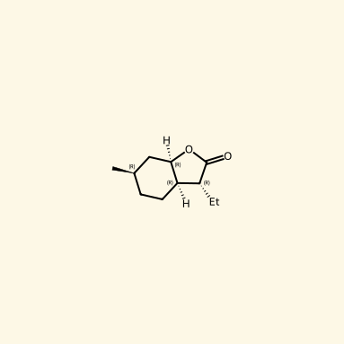 CC[C@H]1C(=O)O[C@@H]2C[C@H](C)CC[C@@H]21